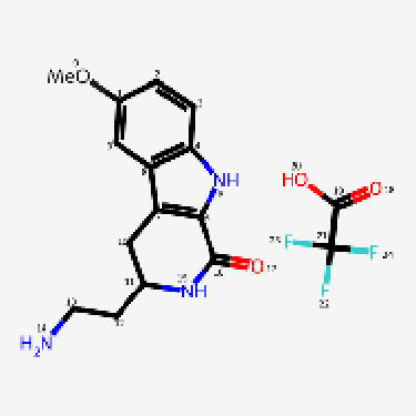 COc1ccc2[nH]c3c(c2c1)CC(CCN)NC3=O.O=C(O)C(F)(F)F